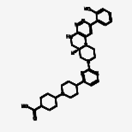 O=C(O)C1CCC(N2CCC(c3ccnc(N4CCN5c6cc(-c7ccccc7O)nnc6NC[C@H]5C4)n3)CC2)CC1